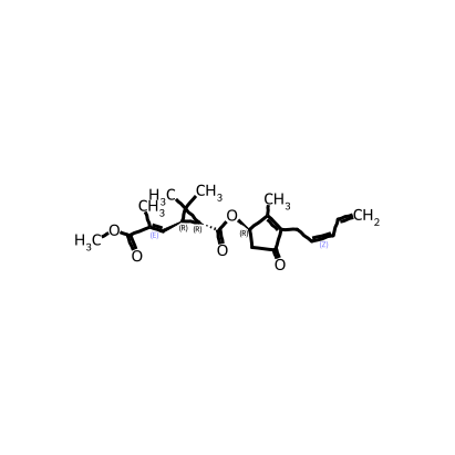 C=C/C=C\CC1=C(C)[C@H](OC(=O)[C@@H]2[C@@H](/C=C(\C)C(=O)OC)C2(C)C)CC1=O